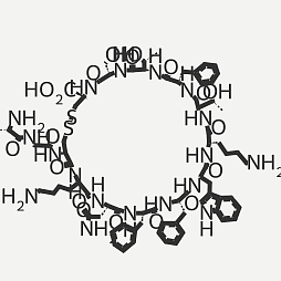 C[C@H](N)C(=O)NCC(=O)N[C@H]1CSSC[C@@H](C(=O)O)NC(=O)[C@H](CO)NC(=O)[C@H]([C@@H](C)O)NC(=O)[C@H](Cc2ccccc2)NC(=O)[C@H]([C@@H](C)O)NC(=O)[C@H](CCCCN)NC(=O)C(Cc2c[nH]c3ccccc23)NC(=O)[C@H](Cc2ccccc2)NC(=O)[C@H](Cc2ccccc2)NC(=O)[C@H](CC(N)=O)NC(=O)C(CCCCN)NC1=O